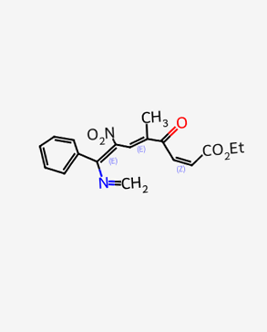 C=N/C(=C(\C=C(/C)C(=O)/C=C\C(=O)OCC)[N+](=O)[O-])c1ccccc1